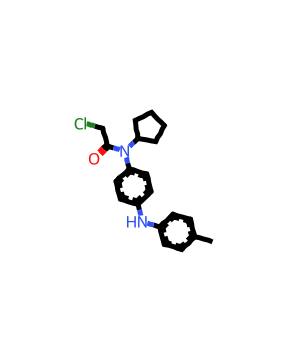 Cc1ccc(Nc2ccc(N(C(=O)CCl)C3CCCC3)cc2)cc1